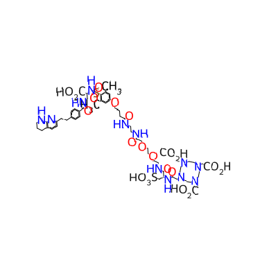 Cc1cc(OCCCC(=O)NCCNC(=O)COCCOCCNC(=O)[C@H](CS(=O)(=O)O)NC(=O)CN2CCN(CC(=O)O)CCN(CC(=O)O)CCN(CC(=O)O)CC2)cc(C)c1S(=O)(=O)NC(CNC(=O)c1ccc(CCc2ccc3c(n2)NCCC3)cc1)C(=O)O